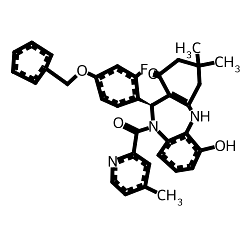 Cc1ccnc(C(=O)N2c3cccc(O)c3NC3=C(C(=O)CC(C)(C)C3)[C@@H]2c2ccc(OCc3ccccc3)cc2F)c1